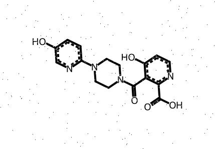 O=C(O)c1nccc(O)c1C(=O)N1CCN(c2ccc(O)cn2)CC1